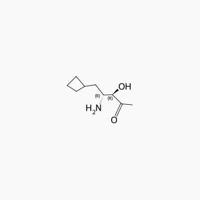 CC(=O)[C@H](O)[C@H](N)CC1CCC1